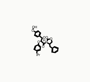 CC(C)c1ccc(O[C@@H](C(=O)N2C(=O)OCC2Cc2ccccc2)[C@@H](O)c2ccc(OO)cc2)cc1